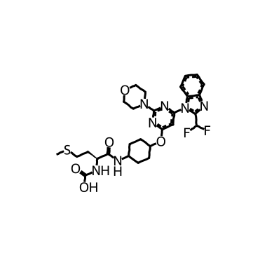 CSCC[C@H](NC(=O)O)C(=O)NC1CCC(Oc2cc(-n3c(C(F)F)nc4ccccc43)nc(N3CCOCC3)n2)CC1